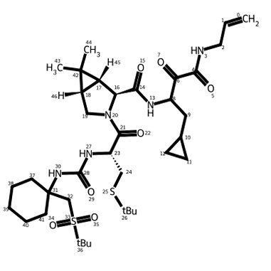 C=CCNC(=O)C(=O)C(CC1CC1)NC(=O)[C@@H]1[C@@H]2[C@H](CN1C(=O)[C@H](CSC(C)(C)C)NC(=O)NC1(CS(=O)(=O)C(C)(C)C)CCCCC1)C2(C)C